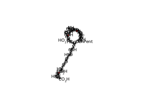 CCCCCC(=O)N[C@H]1CSCc2cc(CSCCNC(=O)CCC(=O)NCCCOCCOCCOCCCNC(=O)CCCCC3(N(C)CC(=O)O)CNCCN(CC(=O)O)C3)cc(c2)CSCC(C(=O)O)NC(=O)[C@H](Cc2ccccc2)NC(=O)[C@H](CCC(N)=O)NC(=O)[C@H]([C@@H](C)O)NC(=O)[C@@H]2CCCN2C(=O)[C@@H]2CCCN2C1=O